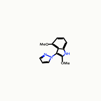 COc1[nH]c2cccc(OC)c2c1-n1cccn1